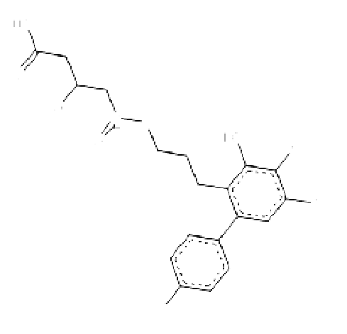 Cc1cc(-c2ccc(F)cc2)c(CCCO[PH](=O)CC(O)CC(=O)O)c(C)c1C